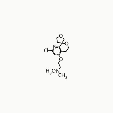 CN(C)CCOc1cc(Cl)nc2c1CCOC21CCOC1